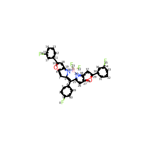 Fc1ccc(C2=C3C=c4oc(-c5cccc(F)c5)cc4=[N+]3[B-](F)(F)n3c2cc2oc(-c4cccc(F)c4)cc23)cc1